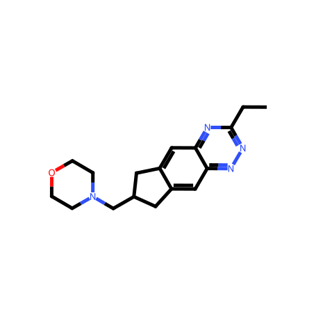 CCc1nnc2cc3c(cc2n1)CC(CN1CCOCC1)C3